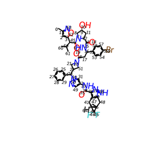 Cc1cc(C(C(=O)N2C[C@H](O)C[C@H]2C(=O)NC(CC(=O)N2CC(C(c3ccccc3)n3cc(NC(=O)c4n[nH]c5c4C[C@H]4C(F)(F)[C@@]4(C)C5)cn3)C2)c2ccc(Br)cc2)C(C)C)on1